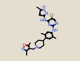 Cc1cc(Nc2nc(Nc3cc(C)c(C4CCN(Cc5c(C)noc5C)CC4)cc3C)ncc2Cl)n[nH]1